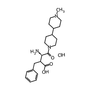 CN1CCC(C2CCN(C(=O)[C@H](N)C(Cc3ccccc3)C(=O)O)CC2)CC1.Cl